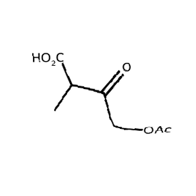 CC(=O)OCC(=O)C(C)C(=O)O